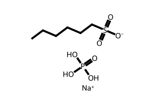 CCCCCCS(=O)(=O)[O-].O=P(O)(O)O.[Na+]